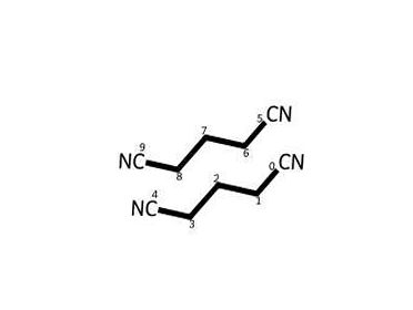 N#CCCCC#N.N#CCCCC#N